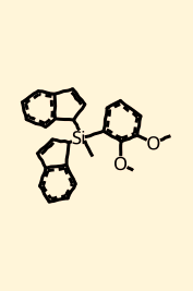 COc1cccc([Si](C)(C2C=Cc3ccccc32)C2C=Cc3ccccc32)c1OC